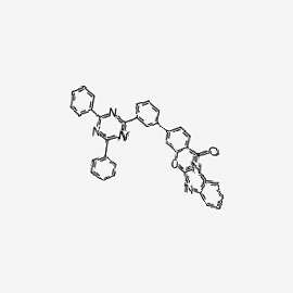 O=c1c2ccc(-c3cccc(-c4nc(-c5ccccc5)nc(-c5ccccc5)n4)c3)cc2oc2nc3ccccc3n12